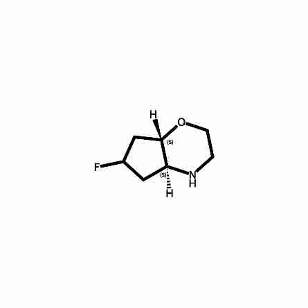 FC1C[C@@H]2NCCO[C@H]2C1